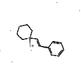 OC1(C=Cc2ccccc2)CCCCC1